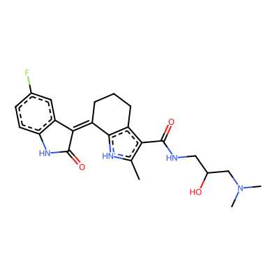 Cc1[nH]c2c(c1C(=O)NCC(O)CN(C)C)CCC/C2=C1/C(=O)Nc2ccc(F)cc21